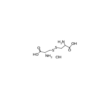 Cl.NC(CSSC[C@H](N)C(=O)O)C(=O)O